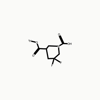 [2H]OC(=O)C1CN(C(=O)O)CC(F)(F)C1